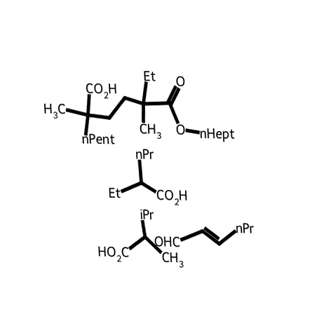 CC(C)C(C)C(=O)O.CCCC(CC)C(=O)O.CCCC=CC=O.CCCCCCCOC(=O)C(C)(CC)CCC(C)(CCCCC)C(=O)O